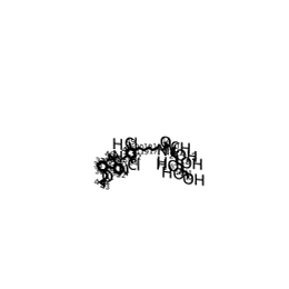 CN(C[C@H](O)[C@@H](O)[C@H](O)[C@H](O)CO)C(=O)NCCCCCc1cc(Cl)c(CNC2(c3cnccc3-c3ccccc3OC3CC3)CC2)cc1Cl